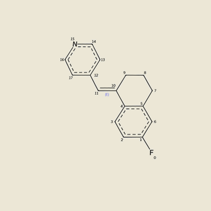 Fc1ccc2c(c1)CCC/C2=C\c1ccncc1